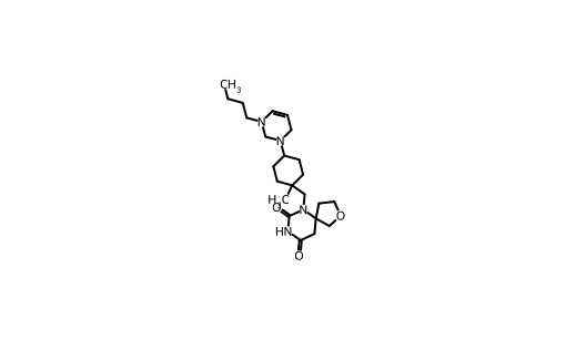 CCCCN1C=CCN(C2CCC(C)(CN3C(=O)NC(=O)CC34CCOC4)CC2)C1